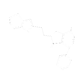 O=C1c2c(-c3ccncc3)ccc(F)c2CN1CCc1cn2ccccc2n1